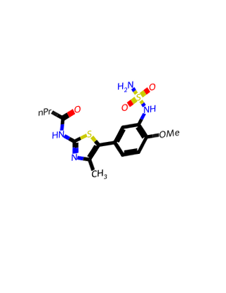 CCCC(=O)Nc1nc(C)c(-c2ccc(OC)c(NS(N)(=O)=O)c2)s1